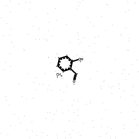 C.O=Cc1ccccc1O